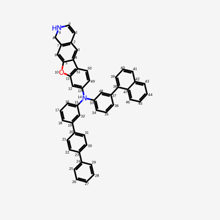 C1=Cc2cc3c(cc2CN1)oc1cc(N(c2cccc(-c4ccc(-c5ccccc5)cc4)c2)c2cccc(-c4cccc5ccccc45)c2)ccc13